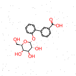 O=C(O)c1cccc(-c2ccccc2O[C@H]2O[C@H](CO)[C@H](O)[C@H](O)[C@H]2O)c1